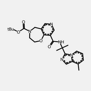 Cc1cccn2c(C(C)(C)NC(=O)c3cncc4c3OCCN(C(=O)OC(C)(C)C)C4)ncc12